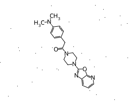 CN(C)c1ccc(CC(=O)N2CCN(c3nc4cccnc4o3)CC2)cc1